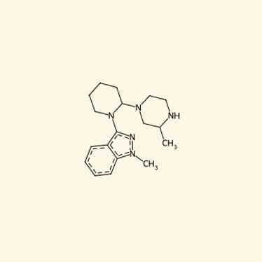 CC1CN(C2CCCCN2c2nn(C)c3ccccc23)CCN1